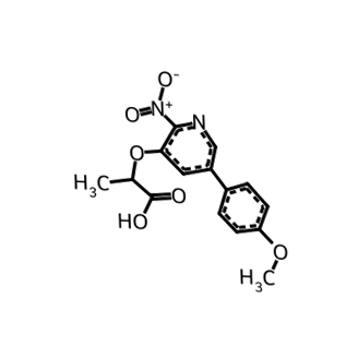 COc1ccc(-c2cnc([N+](=O)[O-])c(OC(C)C(=O)O)c2)cc1